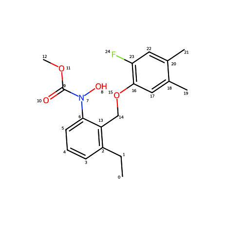 CCc1cccc(N(O)C(=O)OC)c1COc1cc(C)c(C)cc1F